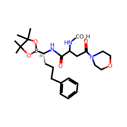 CC1(C)OB([C@@H](CCCc2ccccc2)NC(=O)C(CC(=O)N2CCOCC2)NC(=O)O)OC1(C)C